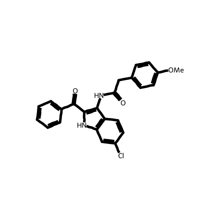 COc1ccc(CC(=O)Nc2c(C(=O)c3ccccc3)[nH]c3cc(Cl)ccc23)cc1